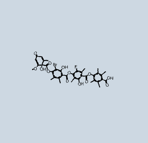 COC1=CC(=O)C=C(C)[C@]1(O)C(=O)Oc1c(C)c(C)c(C(=O)Oc2c(C)c(O)c(C(=O)Oc3c(C)c(C)c(C(=O)O)c(C)c3C)c(C)c2F)c(O)c1Br